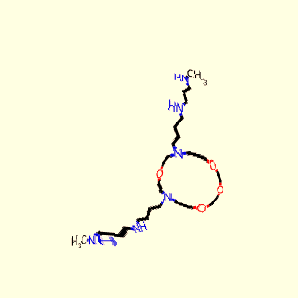 CNCCCNCCCCN1CCOCCOCCOCCN(CCCCNCCCNC)CCOCC1